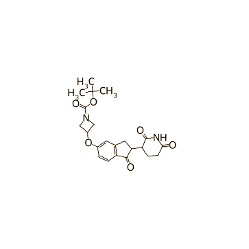 CC(C)(C)OC(=O)N1CC(Oc2ccc3c(c2)CC(C2CCC(=O)NC2=O)C3=O)C1